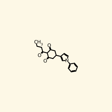 CCCC(=O)C1C(=O)CC(c2ccn(-c3ccccc3)c2)CC1=O